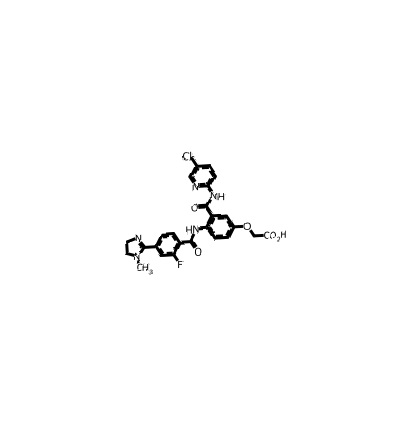 CN1CCN=C1c1ccc(C(=O)Nc2ccc(OCC(=O)O)cc2C(=O)Nc2ccc(Cl)cn2)c(F)c1